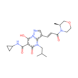 CC(C)Cn1c(=O)c(C(=O)NC2CC2)c(O)n2ncc(/C=C/C(=O)N3CCOC[C@@H]3C)c12